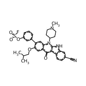 CC(C)COc1cc2c(=O)c3c4ccc(C#N)cc4[nH]c3n(C3CCN(C)CC3)c2cc1-c1cccc(OS(=O)(=O)F)c1